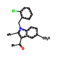 CCCc1c(C(=O)C(C)C)c2cc(C(=O)O)ccc2n1Cc1ccccc1Cl